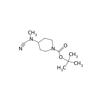 CN(C#N)C1CCN(C(=O)OC(C)(C)C)CC1